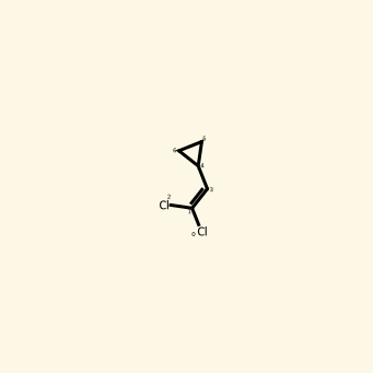 ClC(Cl)=C[C]1CC1